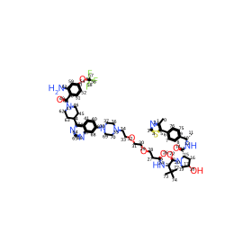 Cc1ncsc1-c1ccc([C@H](C)NC(=O)[C@@H]2C[C@@H](O)CN2C(=O)[C@@H](NC(=O)CCOCCOCCN2CCN(c3ccc4c(C5CCN(C(=O)c6ccc(OC(F)(F)F)cc6N)CC5)ncnc4c3)CC2)C(C)(C)C)cc1